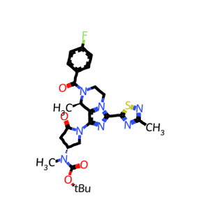 Cc1nsc(-c2nc(N3C[C@H](N(C)C(=O)OC(C)(C)C)CC3=O)c3n2CCN(C(=O)c2ccc(F)cc2)[C@@H]3C)n1